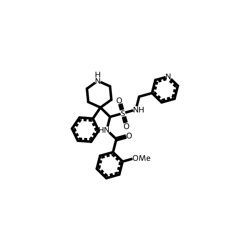 COc1ccccc1C(=O)NC(C1(c2ccccc2)CCNCC1)S(=O)(=O)NCc1cccnc1